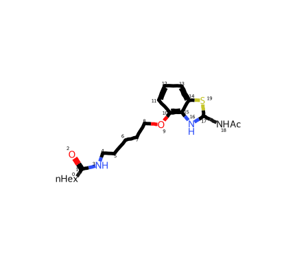 CCCCCCC(=O)NCCCCCOc1cccc2c1NC(NC(C)=O)S2